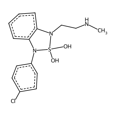 CNCCN1c2ccccc2N(c2ccc(Cl)cc2)S1(O)O